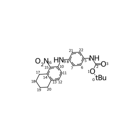 CC(C)(C)OC(=O)Nc1ccc(Nc2ccc3c(c2[N+](=O)[O-])CCCC3)cc1